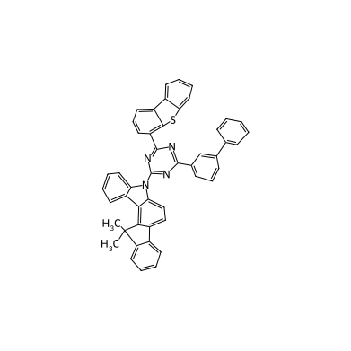 CC1(C)c2ccccc2-c2ccc3c(c21)c1ccccc1n3-c1nc(-c2cccc(-c3ccccc3)c2)nc(-c2cccc3c2sc2ccccc23)n1